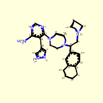 Nc1ncnc(N2CCN(C(CN3CCC3)c3ccc4c(c3)CCCC4)CC2)c1-c1cn[nH]c1